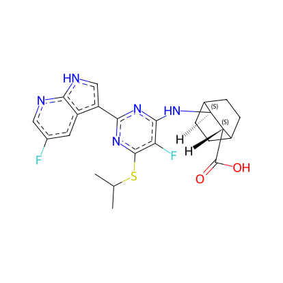 CC(C)Sc1nc(-c2c[nH]c3ncc(F)cc23)nc(N[C@H]2C3CCC(CC3)[C@@H]2C(=O)O)c1F